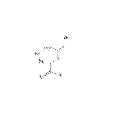 C=C(C)COC(Cl)CC.CNC